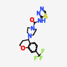 O=C(Nc1nncs1)N1CCN(C2CCOc3cc(C(F)(F)F)ccc32)CC1